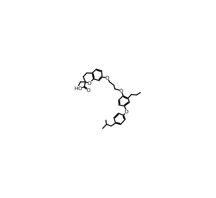 CCCc1cc(Oc2ccc(CC(C)C)cc2)ccc1OCCCOc1ccc2c(c1)OC(CC)(C(=O)O)CC2